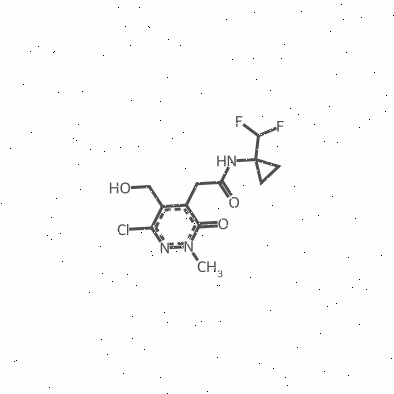 Cn1nc(Cl)c(CO)c(CC(=O)NC2(C(F)F)CC2)c1=O